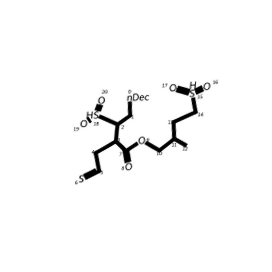 CCCCCCCCCCCC(C(CC=S)C(=O)OCC(C)CC[SH](=O)=O)[SH](=O)=O